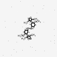 COc1ccc(NNc2ccc(OC)c(-c3c(C)noc3C)c2)cc1-c1c(C)noc1C